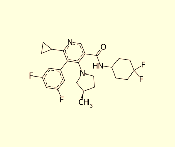 C[C@@H]1CCN(c2c(C(=O)NC3CCC(F)(F)CC3)cnc(C3CC3)c2-c2cc(F)cc(F)c2)C1